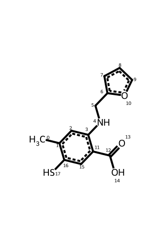 Cc1cc(NCc2ccco2)c(C(=O)O)cc1S